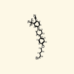 N#Cc1ccc(N2CCC(c3ccc(OCCCCBr)cc3)CC2)cc1C(F)(F)F